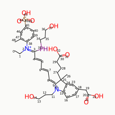 CC\[N+](=C(/C=C/C=C/C=C1/N(CCCO)c2ccc(CC(=O)O)cc2C1(C)CCCC(=O)O)PCCCO)c1ccc(S(=O)(=O)O)cc1C